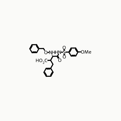 COc1ccc(S(=O)(=O)NC(=O)[C@@H](NOCc2ccccc2)C(Cc2ccccc2)C(=O)O)cc1